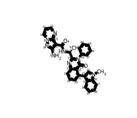 C[C@H](NC(=O)c1c(N)nn2cccnc12)c1nc2cccc(-c3cn(C)c4ccccc34)c2c(=O)n1-c1ccccc1